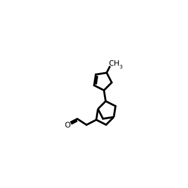 CC1C=CC(C2CC3CC(CC=O)C2C3)C1